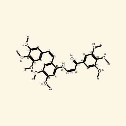 COc1cc(/C=C\c2cc(OC)c(OC)c(OC)c2)c(N/C=C\C(=O)c2cc(OC)c(OC)c(OC)c2)cc1OC